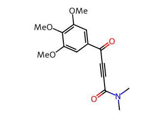 COc1cc(C(=O)C#CC(=O)N(C)C)cc(OC)c1OC